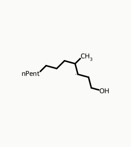 CCCCCCCCC(C)[CH]CCO